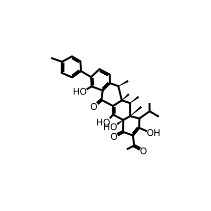 CC(=O)C1=C(O)C(C(C)C)[C@@]2(C)[C@H](C)[C@]3(C)C(=C(O)[C@@]2(O)C1=O)C(=O)c1c(ccc(-c2ccc(C)cc2)c1O)[C@H]3C